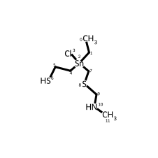 C[CH2][Sn]([Cl])([CH2]CS)[CH2]SCNC